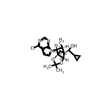 C[C@@H]1[C@@H](n2ccc3c(Cl)ncnc32)[C@]23C[C@@]1(C(O)C1CC1)[C@H]2OC(C)(C)O3